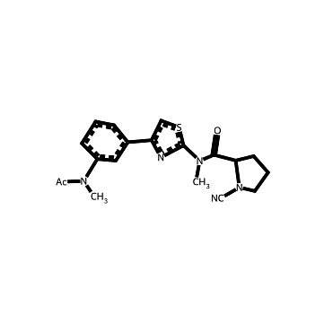 CC(=O)N(C)c1cccc(-c2csc(N(C)C(=O)C3CCCN3C#N)n2)c1